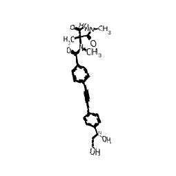 CNC(=O)C(C)(C(=O)O)N(C)C(=O)c1ccc(C#Cc2ccc([C@H](O)CO)cc2)cc1